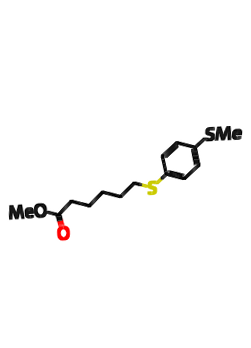 COC(=O)CCCCCSc1ccc(SC)cc1